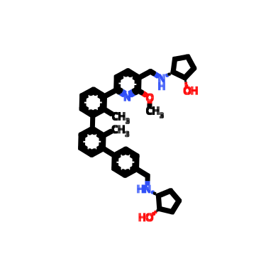 COc1nc(-c2cccc(-c3cccc(-c4ccc(CN[C@@H]5CCC[C@@H]5O)cc4)c3C)c2C)ccc1CN[C@@H]1CCC[C@@H]1O